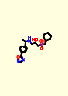 CC(NC[C@H](O)CP(=O)(O)CC1CCCCC1)c1ccc(-c2ncno2)cc1